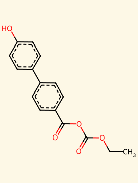 CCOC(=O)OC(=O)c1ccc(-c2ccc(O)cc2)cc1